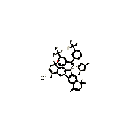 CC1=CC(C)[C]([Zr+2](=[C](c2cccc(C(F)(F)F)c2)c2cccc(C(F)(F)F)c2)[CH]2c3cc4c(cc3-c3cc5c(cc32)C(C)(C)CC=C5C)C(C)=CCC4(C)C)=C1.[Cl-].[Cl-]